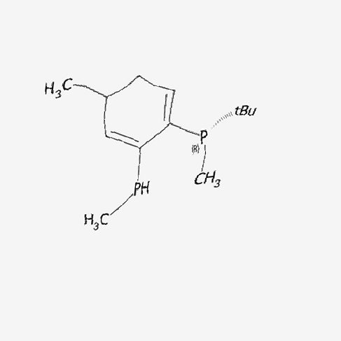 CPC1=CC(C)CC=C1[P@@](C)C(C)(C)C